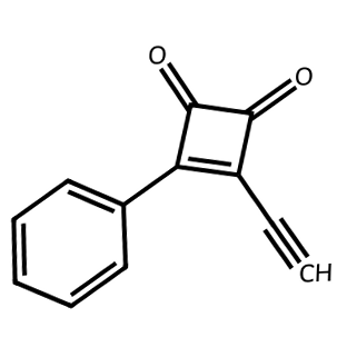 C#Cc1c(-c2ccccc2)c(=O)c1=O